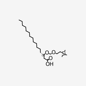 CCCCCCCCCCCCC[C@@H](CC(=O)O)OCOCC[Si](C)(C)C